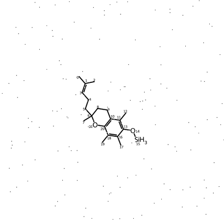 CC(C)=CCCC1(C)CCc2c(C)c(O[SiH3])c(C)c(C)c2O1